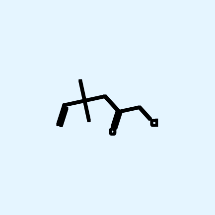 C=CC(C)(C)CC(=O)CCl